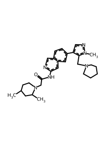 CC1CCN(CC(=O)Nc2cc3cc(-c4cnn(C)c4CN4CCCCC4)ccc3cn2)C(C)C1